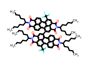 CCCCCC(CCCCC)N1C(=O)c2ccc3c4c(-c5cc6c7c(cc(C(F)(F)F)c8c9ccc%10c%11c(ccc(c5c78)c%119)C(=O)N(C(CCCCC)CCCCC)C%10=O)C(=O)N(C(CCCCC)CCCCC)C6=O)cc5c6c(cc(C(F)(F)F)c(c7ccc(c2c37)C1=O)c64)C(=O)N(C(CCCCC)CCCCC)C5=O